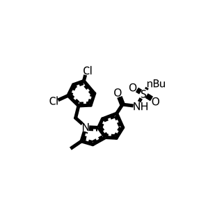 CCCCS(=O)(=O)NC(=O)c1ccc2cc(C)n(Cc3ccc(Cl)cc3Cl)c2c1